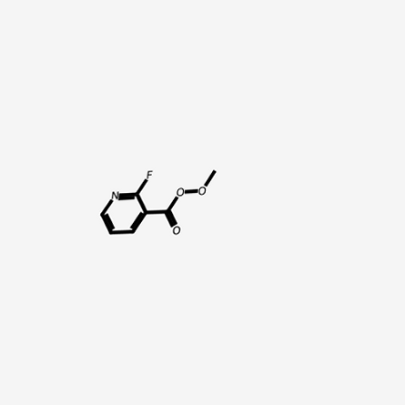 COOC(=O)c1cccnc1F